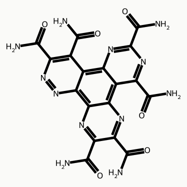 NC(=O)c1nc(C(N)=O)c2c3nc(C(N)=O)c(C(N)=O)nc3c3nnc(C(N)=O)c(C(N)=O)c3c2n1